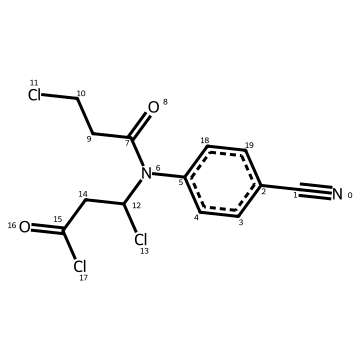 N#Cc1ccc(N(C(=O)CCCl)C(Cl)CC(=O)Cl)cc1